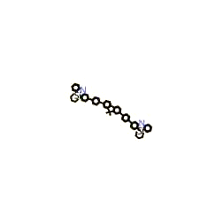 CN1c2ccccc2[Si]2(CCCCC2)c2ccc(-c3ccc(-c4ccc5c(c4)C(C)(C)c4cc(-c6ccc(-c7ccc8c(c7)N(C)c7ccccc7[Si]87CCCCC7)cc6)ccc4-5)cc3)cc21